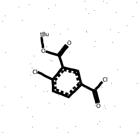 CC(C)(C)OC(=O)c1cc(C(=O)Cl)ccc1Cl